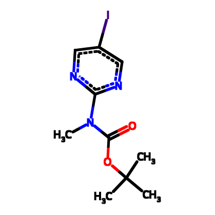 CN(C(=O)OC(C)(C)C)c1ncc(I)cn1